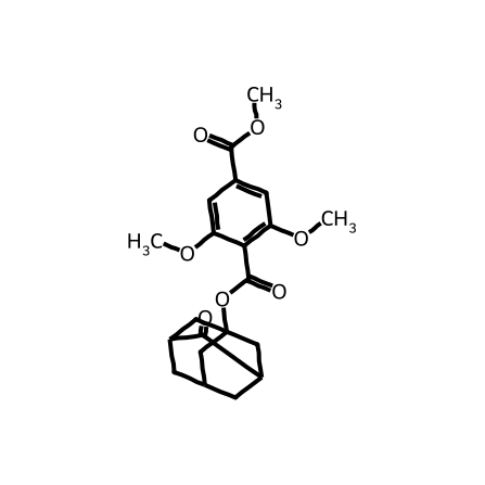 COC(=O)c1cc(OC)c(C(=O)OC23CC4CC(C2)C(=O)C(C4)C3)c(OC)c1